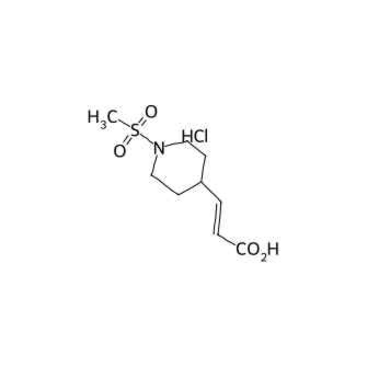 CS(=O)(=O)N1CCC(/C=C/C(=O)O)CC1.Cl